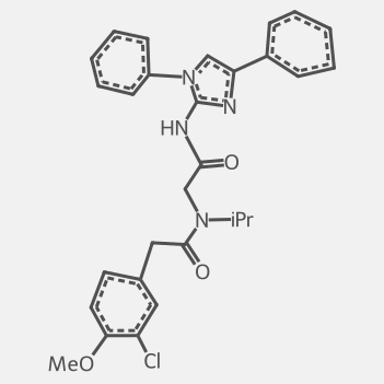 COc1ccc(CC(=O)N(CC(=O)Nc2nc(-c3ccccc3)cn2-c2ccccc2)C(C)C)cc1Cl